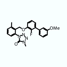 COc1cccc(-c2cccc(OCc3c(C)cccc3-n3nnn(C)c3=O)c2F)c1